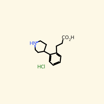 Cl.O=C(O)CCc1ccccc1C1CCNCC1